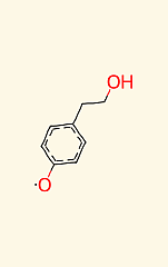 [O]c1ccc(CCO)cc1